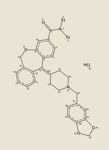 CCN(CC)C(=O)c1ccc2c(c1)OCc1ccccc1C2=C1CCN(Cc2ccc3c(c2)OCO3)CC1.Cl